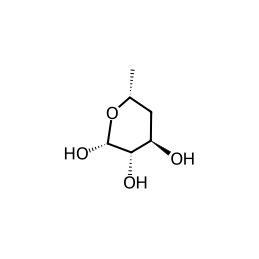 C[C@@H]1C[C@@H](O)[C@H](O)[C@H](O)O1